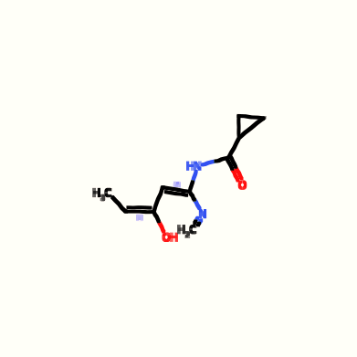 C=N/C(=C\C(O)=C/C)NC(=O)C1CC1